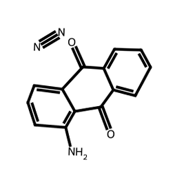 N#N.Nc1cccc2c1C(=O)c1ccccc1C2=O